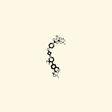 COC(=O)c1ccc(C2CCN(C3CC(OC4CCN(C(=O)OC(C)(C)C)CC4)C3)CC2(F)F)cc1C=O